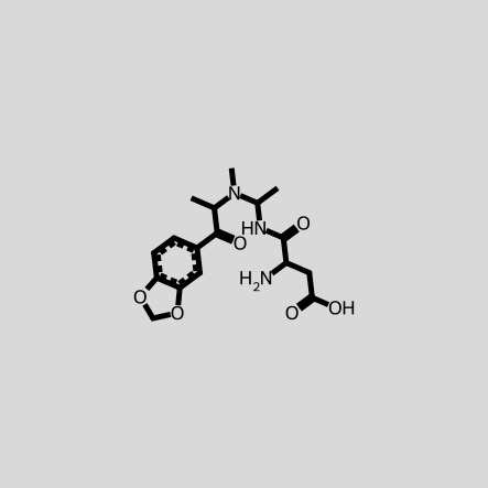 CC(NC(=O)C(N)CC(=O)O)N(C)C(C)C(=O)c1ccc2c(c1)OCO2